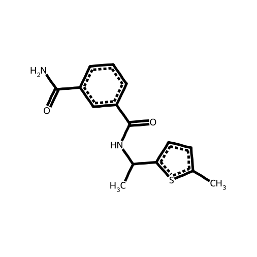 Cc1ccc(C(C)NC(=O)c2cccc(C(N)=O)c2)s1